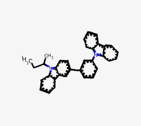 CCC(C)n1c2ccccc2c2cc(-c3cccc(-n4c5ccccc5c5ccccc54)c3)ccc21